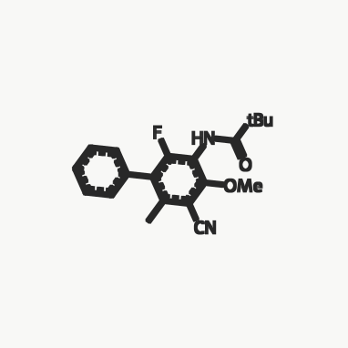 COc1c(C#N)c(C)c(-c2ccccc2)c(F)c1NC(=O)C(C)(C)C